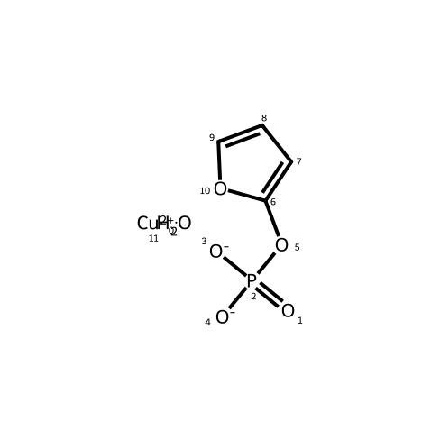 O.O=P([O-])([O-])Oc1ccco1.[Cu+2]